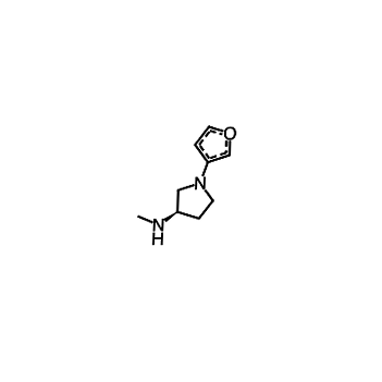 CN[C@@H]1CCN(c2ccoc2)C1